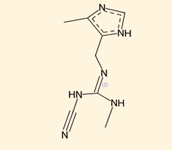 CN/C(=N/Cc1[nH]cnc1C)NC#N